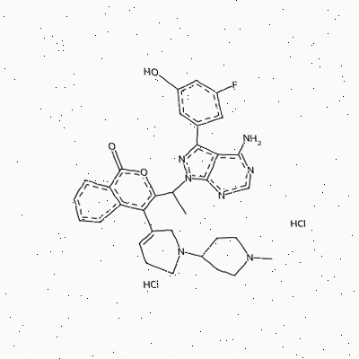 CC(c1oc(=O)c2ccccc2c1C1=CCCN(C2CCN(C)CC2)C1)n1nc(-c2cc(O)cc(F)c2)c2c(N)ncnc21.Cl.Cl